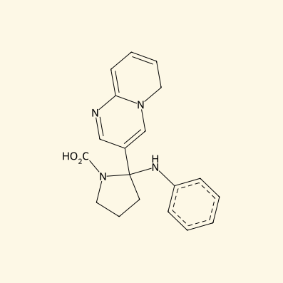 O=C(O)N1CCCC1(Nc1ccccc1)C1=CN2CC=CC=C2N=C1